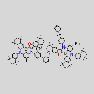 Cc1cc2c3c(c1)N(c1ccc(-c4ccccc4CC4(C)CCC(C)(C)c5cc6c7c(oc6cc54)B4c5cc6c(cc5N(c5ccc8c(c5)C(C)(C)CCC8(C)C)c5cc(C(C)(C)C)cc(c54)N7c4ccc(C(C)(C)c5ccccc5)cc4)C(C)(C)CCC6(C)C)cc1C#N)c1c(oc4cc5c(cc14)C(C)(C)CCC5(C)C)B3c1cc3c(cc1N2c1ccc2c(c1)C(C)(C)CCC2(C)C)C(C)(C)CCC3(C)C